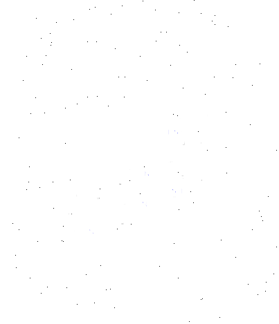 C=CC(=O)Nc1cccc(Nc2nccc(Sc3ccccn3)n2)c1